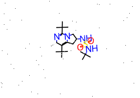 C[C@@H]1N=C(C(C)(C)C)N2C[C@@H](NS(=O)(=O)NC(C)(C)C)CC2=C1C(C)(C)C